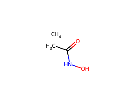 C.CC(=O)NO